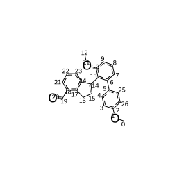 COc1ccc(-c2cccc(OC)c2C2=CCc3c(C=O)cccc32)cc1